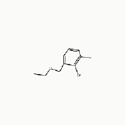 CCOCc1cccc(C)c1Br